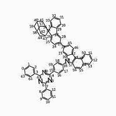 c1ccc(-c2nc(-c3ccccc3)nc(-c3ccc(-n4c5cc(-c6ccc7c(c6)-c6ccccc6C76C7CC8CC(C7)CC6C8)ccc5c5c6ccccc6ccc54)cc3)n2)cc1